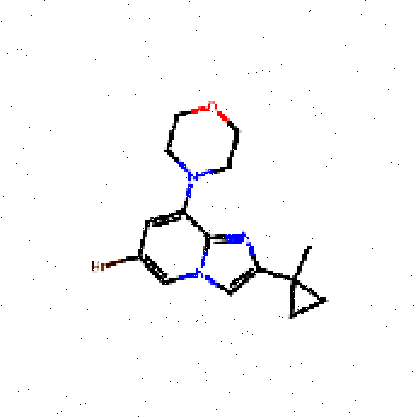 CC1(c2cn3cc(Br)cc(N4CCOCC4)c3n2)CC1